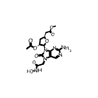 COC(=O)C[C@@H]1C[C@@H](OC(C)=O)[C@H](n2c(=O)n(CC(=O)NO)c3cnc(N)nc32)O1